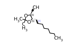 C#C[C@@H]1OC(C)(C)O[C@H]1/C=C/CCCCCC